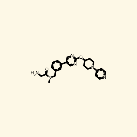 CN(Cc1cccc(-c2cnc(OC3CCN(c4ccncc4)CC3)nc2)c1)C(=O)CN